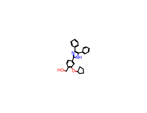 OCc1ccc(-c2nc(-c3ccccc3)c(-c3ccccc3)[nH]2)cc1OC1CCCC1